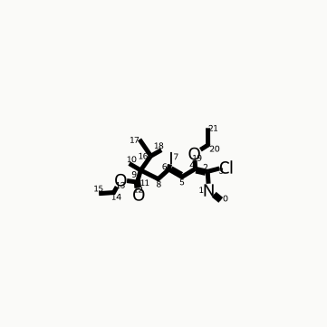 C=N/C(Cl)=C(\C=C(/I)CC(C)(C(=O)OCC)C(C)C)OCC